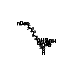 CCCCCCCCCCCCCCCCCCOO[C@@H](CO)COP(=O)(O)O